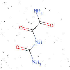 NC(=O)NC(=O)C(N)=O